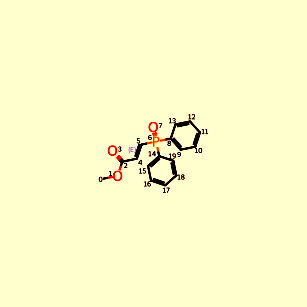 COC(=O)/C=C/P(=O)(c1ccccc1)c1ccccc1